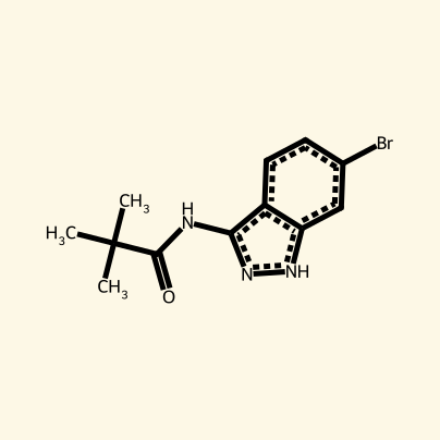 CC(C)(C)C(=O)Nc1n[nH]c2cc(Br)ccc12